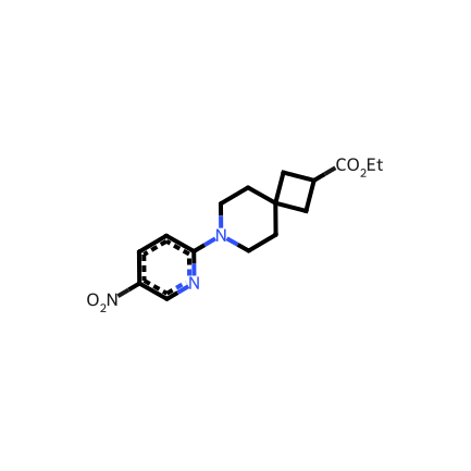 CCOC(=O)C1CC2(CCN(c3ccc([N+](=O)[O-])cn3)CC2)C1